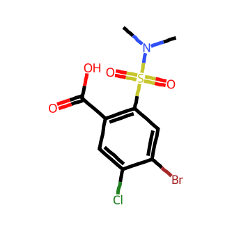 CN(C)S(=O)(=O)c1cc(Br)c(Cl)cc1C(=O)O